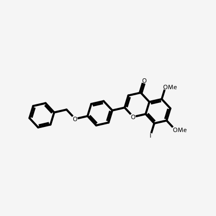 COc1cc(OC)c2c(=O)cc(-c3ccc(OCc4ccccc4)cc3)oc2c1I